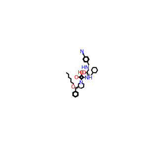 CCCCCCO[C@@H](c1ccccc1)[C@@H]1CCCN(c2c(N[C@@H](CC3CCCCC3)[C@H](O)CNCc3ccc(C#N)cc3)c(=O)c2=O)C1